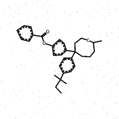 CCC(C)(C)c1ccc(C2(c3ccc(OC(=O)c4ccccc4)cc3)CCCC(C)CCC2)cc1